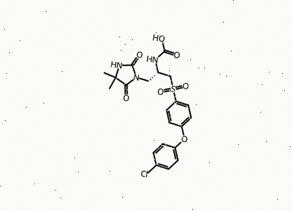 CC1(C)NC(=O)N(C[C@@H](CS(=O)(=O)c2ccc(Oc3ccc(Cl)cc3)cc2)NC(=O)O)C1=O